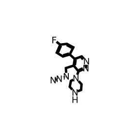 [N-]=[N+]=NCc1c(-c2ccc(F)cc2)cnnc1N1CCNCC1